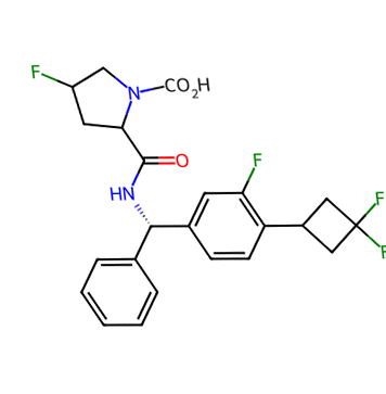 O=C(N[C@@H](c1ccccc1)c1ccc(C2CC(F)(F)C2)c(F)c1)C1CC(F)CN1C(=O)O